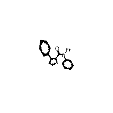 CCN(C(=O)c1sccc1-c1ccccc1)c1ccccc1